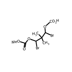 COC(=O)OC(Br)C(C)(C)C(Br)OC(=O)O